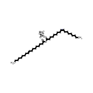 CCCCCCCCC=CCCCCCCCC(=O)OC(=O)CCCCCCC/C=C\CCCCCCCC.O=S(=O)([O-])[O-].[Mg+2]